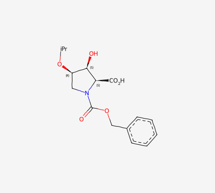 CC(C)O[C@@H]1CN(C(=O)OCc2ccccc2)[C@H](C(=O)O)[C@@H]1O